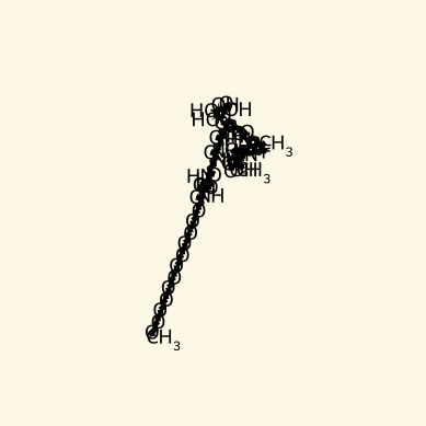 CC[C@@]1(O)C(=O)OCc2c1cc1n(c2=O)Cc2c-1nc1cc(F)c(C)c3c1c2[C@@H](NC(=O)OCc1ccc(O[C@@H]2O[C@H](C(=O)O)[C@@H](O)[C@H](O)[C@H]2O)c(CNC(=O)CCNC(=O)[C@@H](N)CCCC(=O)N[C@H]2CO[C@H]4[C@@H]2OC[C@@H]4NC(=O)CCOCCOCCOCCOCCOCCOCCOCCOCCOCCOCCOCCOC)c1)CC3